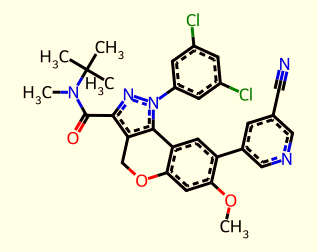 COc1cc2c(cc1-c1cncc(C#N)c1)-c1c(c(C(=O)N(C)C(C)(C)C)nn1-c1cc(Cl)cc(Cl)c1)CO2